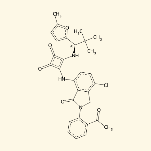 CC(=O)c1ccccc1N1Cc2c(Cl)ccc(Nc3c(N[C@@H](c4ccc(C)o4)C(C)(C)C)c(=O)c3=O)c2C1=O